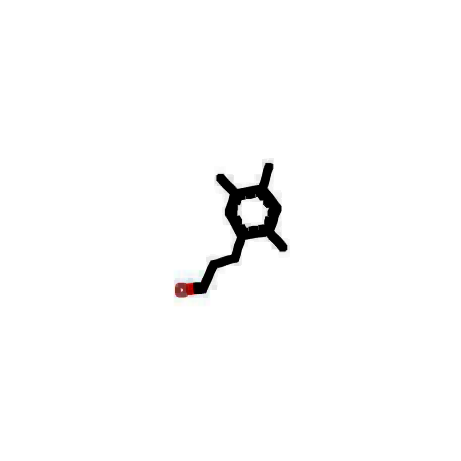 Cc1cc(C)c(CCC=O)cc1C